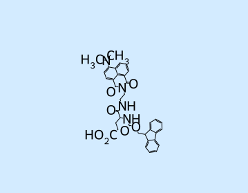 CN(C)c1ccc2c3c(cccc13)C(=O)N(CCNC(=O)C(CCC(=O)O)NC(=O)OCC1c3ccccc3-c3ccccc31)C2=O